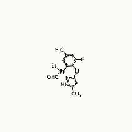 CCNC=O.Cc1cc(Oc2c(F)cc(C(F)(F)F)cc2Cl)n[nH]1